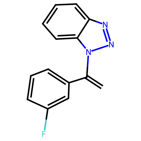 C=C(c1cccc(F)c1)n1nnc2ccccc21